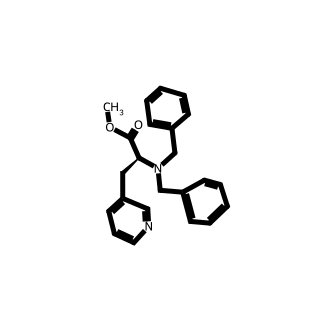 COC(=O)[C@H](Cc1cccnc1)N(Cc1ccccc1)Cc1ccccc1